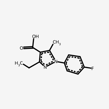 CCc1nn(-c2ccc(F)cc2)c(C)c1C(=O)O